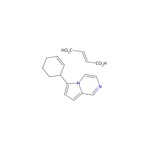 C1=CC(c2ccc3cnccn23)CCC1.O=C(O)C=CC(=O)O